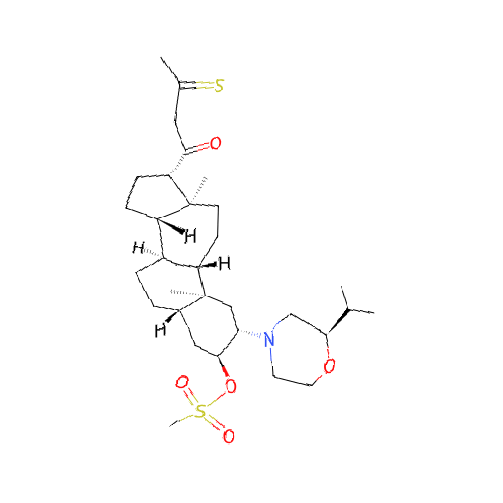 CC(=S)CC(=O)[C@H]1CC[C@H]2[C@@H]3CC[C@H]4C[C@H](OS(C)(=O)=O)[C@@H](N5CCO[C@H](C(C)C)C5)C[C@]4(C)[C@H]3CC[C@]12C